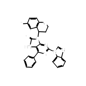 O=c1[nH]c2c(-c3ccccc3)nc(-n3cnc4ccccc43)nc2n1C1CCOc2ccc(F)cc21